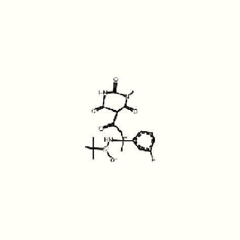 CN1C(=O)NC(=O)C(C(=O)C[C@@](C)(N[S+]([O-])C(C)(C)C)c2cccc(F)c2)C1=O